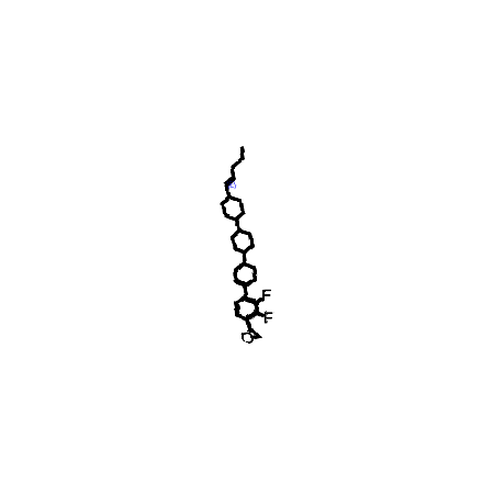 CCC/C=C/C1CCC(C2CCC(C3CC=C(c4ccc(C5CO5)c(F)c4F)CC3)CC2)CC1